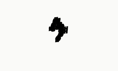 CN1CCN(c2ccc(NC(=O)Nc3ccc4c(c3)C(=O)/C(=C/c3cn(C)c5nccc(N6CCC(C(=O)N(C)C)CC6)c35)O4)cc2)CC1